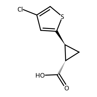 O=C(O)[C@H]1C[C@@H]1c1cc(Cl)cs1